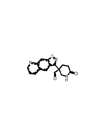 O=CC1(c2noc3cc4ncccc4cc23)CCC(=O)NC1